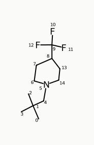 CC(C)(C)CN1CCC(C(F)(F)F)CC1